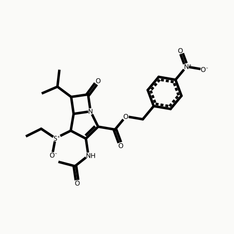 CC[S+]([O-])C1C(NC(C)=O)=C(C(=O)OCc2ccc([N+](=O)[O-])cc2)N2C(=O)C(C(C)C)C12